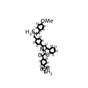 COc1ccc(CN(C)Cc2ccc(C3=NN4C(C(=O)c5ccc(S(C)(=O)=O)cc5)Oc5ccccc5C4C3)cc2)cc1